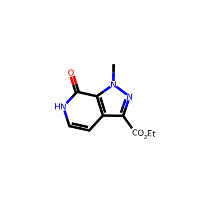 CCOC(=O)c1nn(C)c2c(=O)[nH]ccc12